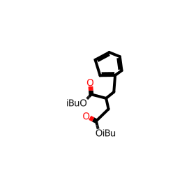 CC(C)COC(=O)CC(Cc1ccccc1)C(=O)OCC(C)C